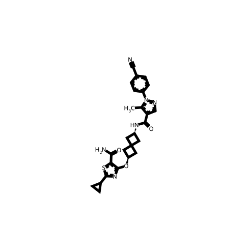 Cc1c(C(=O)N[C@H]2CC3(C2)C[C@H](Oc2nc(C4CC4)sc2C(N)=O)C3)cnn1-c1ccc(C#N)cc1